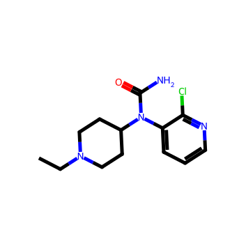 CCN1CCC(N(C(N)=O)c2cccnc2Cl)CC1